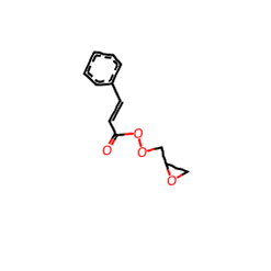 O=C(/C=C/c1ccccc1)OOCC1CO1